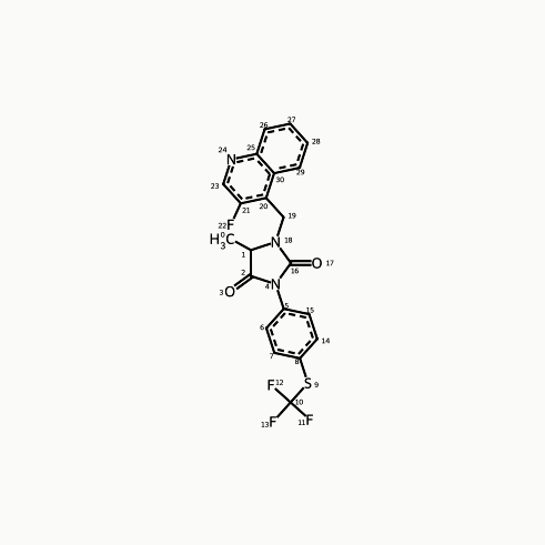 CC1C(=O)N(c2ccc(SC(F)(F)F)cc2)C(=O)N1Cc1c(F)cnc2ccccc12